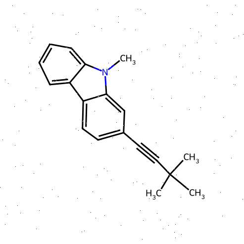 Cn1c2ccccc2c2ccc(C#CC(C)(C)C)cc21